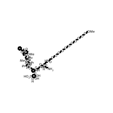 CC[C@H](C)[C@@H]([C@@H](CC(=O)N1CCC[C@H]1[C@H](OC)[C@@H](C)C(=O)N[C@H](C)[C@@H](O)c1ccccc1)OC)N(C)C(=O)[C@@H](NC(=O)[C@H](C(C)C)N(C)C(=O)OCc1ccc(O[C@@H]2C[C@H](C(=O)O)[C@@H](O)[C@H](O)[C@H]2O)c(NC(=O)CCNC(=O)[C@H](CCCCNC(=O)CCOCCOCCOCCOCCOCCOCCOCCOCCOCCOCCOCCOC)NC(=O)CCN)c1)C(C)C